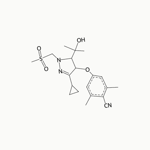 Cc1cc(OC2C(C3CC3)=NN(CS(C)(=O)=O)C2C(C)(C)O)cc(C)c1C#N